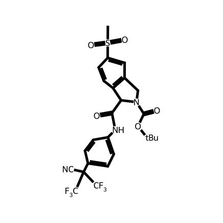 CC(C)(C)OC(=O)N1Cc2cc(S(C)(=O)=O)ccc2C1C(=O)Nc1ccc(C(C#N)(C(F)(F)F)C(F)(F)F)cc1